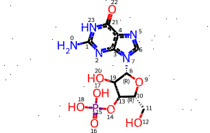 Nc1nc2c(ncn2[C@@H]2O[C@H](CO)C(OP(=O)(O)O)C2O)c(=O)[nH]1